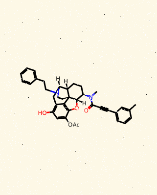 CC(=O)Oc1cc(O)c2c3c1O[C@H]1[C@H](N(C)C(=O)C#Cc4cccc(C)c4)CC[C@H]4[C@@H](C2)N(CCc2ccccc2)CC[C@@]341